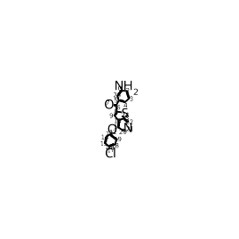 Nc1cccc(C(=O)c2cc3c(Oc4ccc(Cl)cc4)cncc3s2)c1